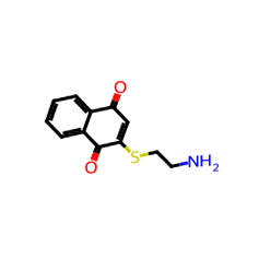 NCCSC1=CC(=O)c2ccccc2C1=O